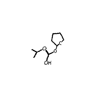 CC(C)OC(O)OC1CCCCC1